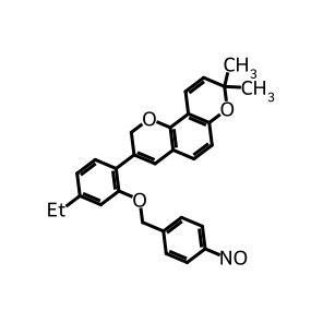 CCc1ccc(C2=Cc3ccc4c(c3OC2)C=CC(C)(C)O4)c(OCc2ccc(N=O)cc2)c1